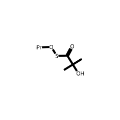 CC(C)OSC(=O)C(C)(C)O